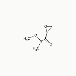 CON(C)C(=O)[C@@H]1CO1